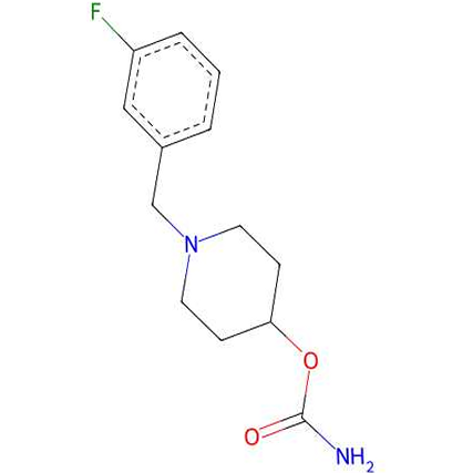 NC(=O)OC1CCN(Cc2cccc(F)c2)CC1